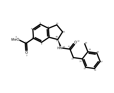 COC(=O)c1ccc2c(c1)[C@H](NC(=O)Cc1ccccc1C)CC2